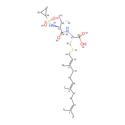 CC(C)=CCC/C(C)=C/CC/C(C)=C/CSC[C@H](NC(=O)[C@@H](NS(=O)(=O)C1CC1)[C@@H](C)I)C(=O)O